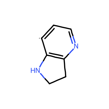 [c]1ccnc2c1NCC2